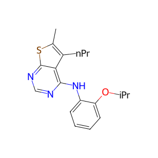 CCCc1c(C)sc2ncnc(Nc3ccccc3OC(C)C)c12